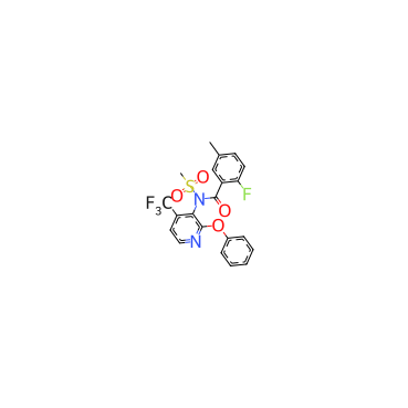 Cc1ccc(F)c(C(=O)N(c2c(C(F)(F)F)ccnc2Oc2ccccc2)S(C)(=O)=O)c1